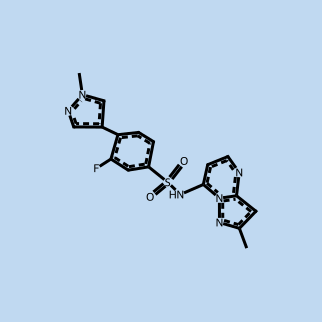 Cc1cc2nccc(NS(=O)(=O)c3ccc(-c4cnn(C)c4)c(F)c3)n2n1